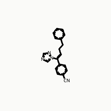 N#Cc1ccc(C(=CCCc2ccccc2)n2cncn2)cc1